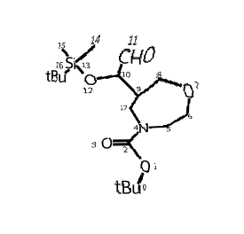 CC(C)(C)OC(=O)N1CCOCC(C(C=O)O[Si](C)(C)C(C)(C)C)C1